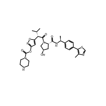 Cc1ncsc1-c1ccc([C@H](C)NC(=O)[C@@H]2C[C@@H](O)CN2C(=O)[C@H](c2cc(OC(=O)N3CCNCC3)no2)C(C)C)cc1